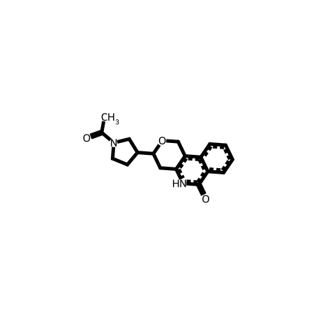 CC(=O)N1CCC(C2Cc3[nH]c(=O)c4ccccc4c3CO2)C1